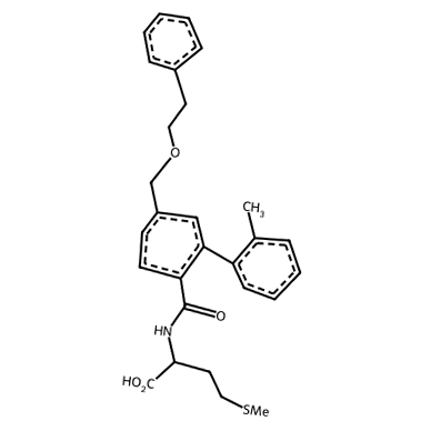 CSCCC(NC(=O)c1ccc(COCCc2ccccc2)cc1-c1ccccc1C)C(=O)O